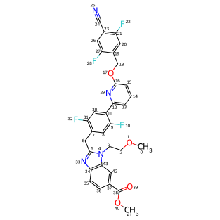 COCCn1c(Cc2cc(F)c(-c3cccc(OCc4cc(F)c(C#N)cc4F)n3)cc2F)nc2ccc(C(=O)OC)cc21